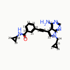 Nc1ncnc2c1c(C#Cc1cccc(C(=O)NC3CC3)c1)cn2CC1CC1